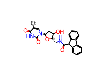 CCc1cn([C@@H]2CC(O)[C@H](CNC(=O)C3c4ccccc4-c4ccccc43)O2)c(=O)[nH]c1=O